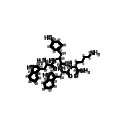 NCCCC[C@H](NC(=O)[C@H](Cc1c[nH]c2ccccc12)NC(=O)[C@H](Cc1ccc(O)cc1)NC(=O)[C@@H](N)Cc1c[nH]c2ccccc12)C(N)=O